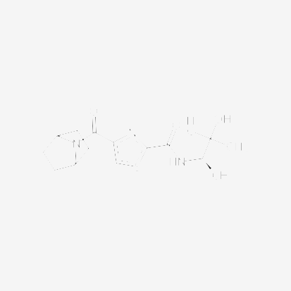 C[C@@H](NC(=O)c1nc(C(=O)N2C3CCC2CC3)cs1)C(C)(C)O